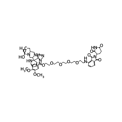 CCC1CNC(C2(C3=CC=NCN3N(OCCOCCOCCOCCOCCNc3cccc4c3C(=O)N(C3CCC(=O)NC3=O)C4=O)c3ccc(OC)c(OC)c3)C=CC=CN2)CN1C(=O)O